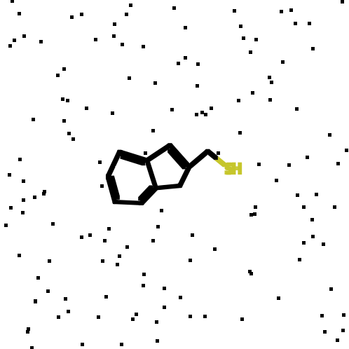 SCC1=Cc2ccccc2C1